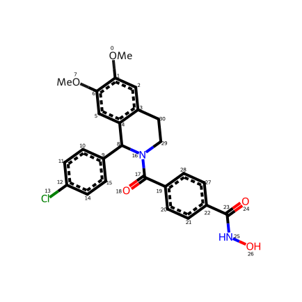 COc1cc2c(cc1OC)C(c1ccc(Cl)cc1)N(C(=O)c1ccc(C(=O)NO)cc1)CC2